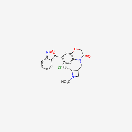 CC(C)(C)C1C(CN2C(=O)COc3cc(-c4onc5ccccc45)c(Cl)cc32)CN1C(=O)O